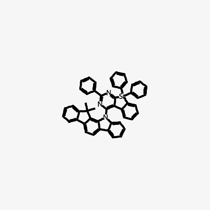 CC1(C)c2ccccc2-c2ccc3c4ccccc4n(-c4nc(-c5ccccc5)nc5c4-c4ccccc4[Si]5(c4ccccc4)c4ccccc4)c3c21